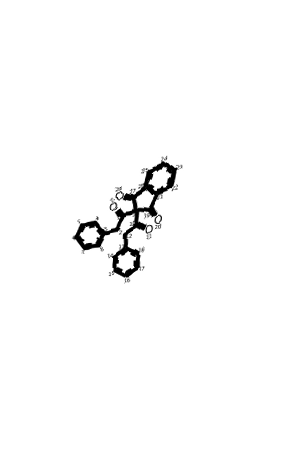 O=C(Cc1ccccc1)C1(C(=O)Cc2ccccc2)C(=O)c2ccccc2C1=O